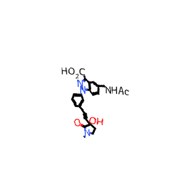 CC(=O)NCc1ccc2c(c1)c(C(=O)O)nn2-c1cccc(C#CC2(O)CCN(C)C2=O)c1